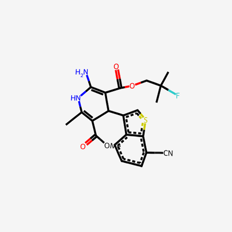 COC(=O)C1=C(C)NC(N)=C(C(=O)OCC(C)(C)F)C1c1csc2c(C#N)cccc12